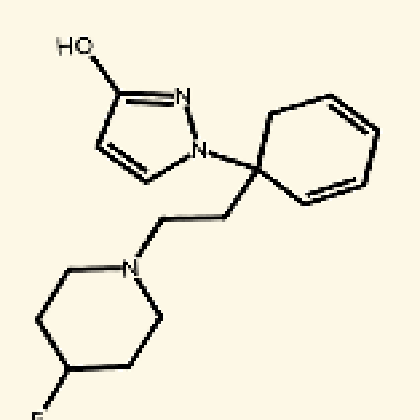 Oc1ccn(C2(CCN3CCC(F)CC3)C=CC=CC2)n1